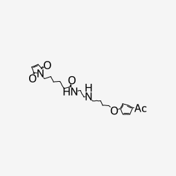 CC(=O)c1ccc(OCCCCNCCNC(=O)CCCCCN2C(=O)C=CC2=O)cc1